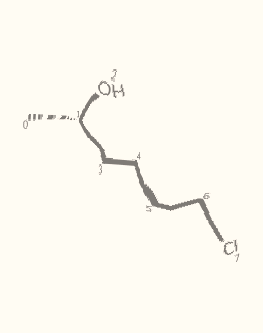 C[C@H](O)CCCCCl